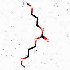 CC(C)OCCCOC(=O)OCCCOC(C)C